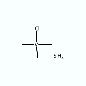 [CH3][V]([CH3])([CH3])[Cl].[SiH4]